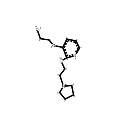 OCCOc1cccnc1OCCN1CCCC1